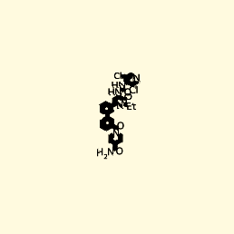 CCn1nc(-c2cccc(-c3cccc(C(=O)N4CCC(C(N)=O)CC4)c3)c2)cc(NC(=O)Nc2c(Cl)cncc2Cl)c1=O